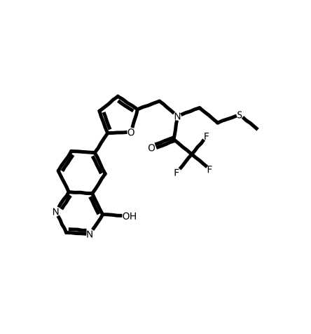 CSCCN(Cc1ccc(-c2ccc3ncnc(O)c3c2)o1)C(=O)C(F)(F)F